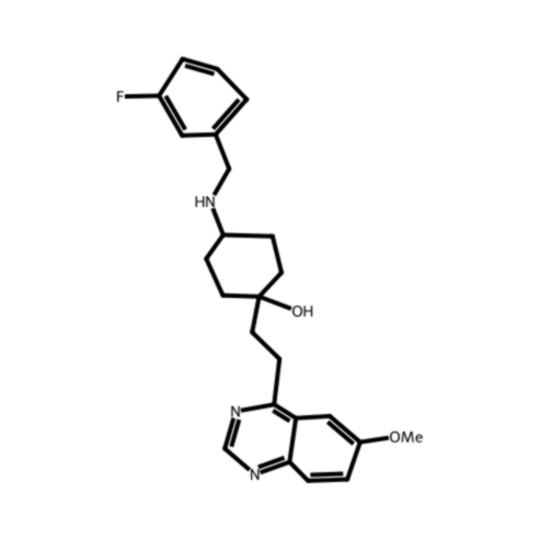 COc1ccc2ncnc(CCC3(O)CCC(NCc4cccc(F)c4)CC3)c2c1